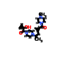 CC(CC1CC1C(=O)N1CCN(C)CC1)N1CCN(C(=O)C2(O)CC2)CC1